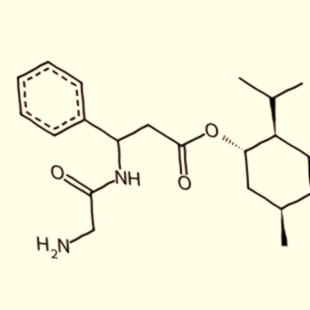 CC(C)[C@H]1CC[C@@H](C)C[C@@H]1OC(=O)CC(NC(=O)CN)c1ccccc1